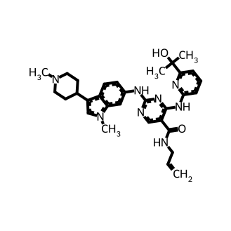 C=CCNC(=O)c1cnc(Nc2ccc3c(C4CCN(C)CC4)cn(C)c3c2)nc1Nc1cccc(C(C)(C)O)n1